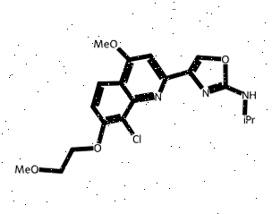 COCCOc1ccc2c(OC)cc(-c3coc(NC(C)C)n3)nc2c1Cl